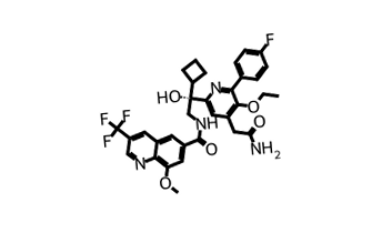 CCOc1c(CC(N)=O)cc([C@@](O)(CNC(=O)c2cc(OC)c3ncc(C(F)(F)F)cc3c2)C2CCC2)nc1-c1ccc(F)cc1